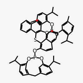 Cc1ccc(C(C)C)c(OP(Oc2cc(C)ccc2C(C)C)Oc2ccc3ccccc3c2Sc2c(OP3Oc4cc(ccc4C(C)C)Cc4ccc(C(C)C)c(c4)O3)ccc3ccccc23)c1